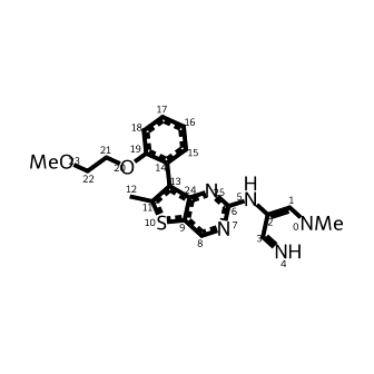 CN/C=C(\C=N)Nc1ncc2sc(C)c(-c3ccccc3OCCOC)c2n1